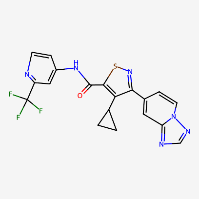 O=C(Nc1ccnc(C(F)(F)F)c1)c1snc(-c2ccn3ncnc3c2)c1C1CC1